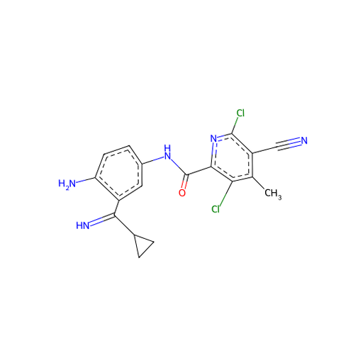 Cc1c(Cl)c(C(=O)Nc2ccc(N)c(C(=N)C3CC3)c2)nc(Cl)c1C#N